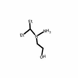 CCC(CC)N(N)CCO